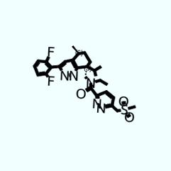 CCN(C[C@@]1(C(C)C)CC[C@H](C)c2cc(-c3c(F)cccc3F)nnc21)C(=O)c1ccc(CS(C)(=O)=O)nn1